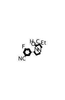 CC[C@]1(C)CN2CC[C@H](c3cc(F)cc(C#N)c3)N2C1=O